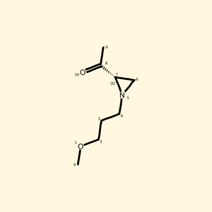 COCCCN1C[C@H]1C(C)=O